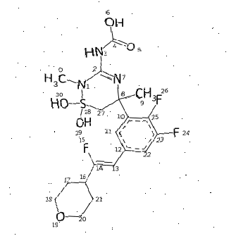 CN1C(NC(=O)O)=NC(C)(c2cc(C=C(F)C3CCOCC3)cc(F)c2F)CS1(O)O